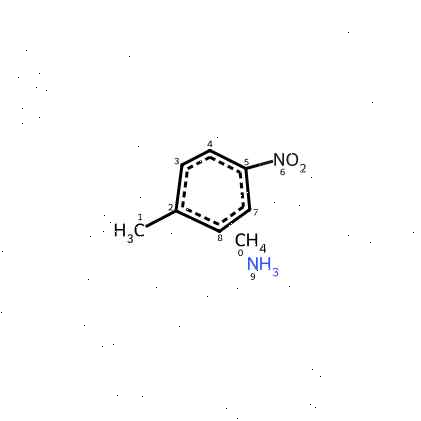 C.Cc1ccc([N+](=O)[O-])cc1.N